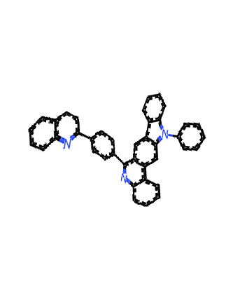 c1ccc(-n2c3ccccc3c3cc4c(-c5ccc(-c6ccc7ccccc7n6)cc5)nc5ccccc5c4cc32)cc1